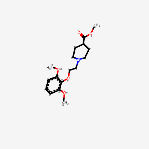 COC(=O)C1CCN(CCOc2c(OC)cccc2OC)CC1